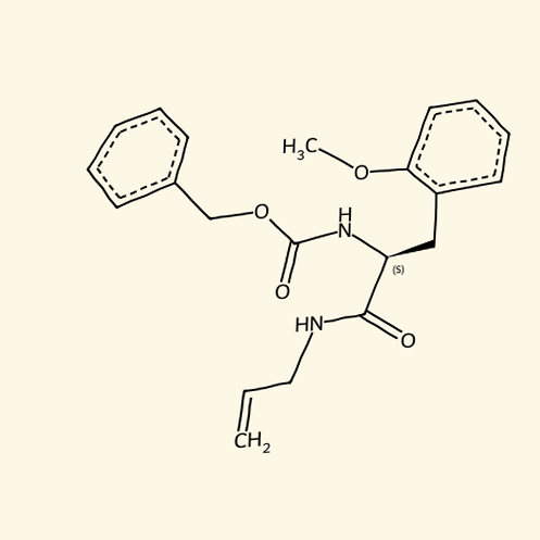 C=CCNC(=O)[C@H](Cc1ccccc1OC)NC(=O)OCc1ccccc1